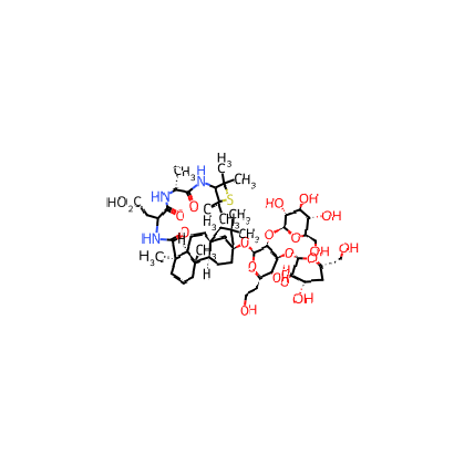 C[C@@H](NC(=O)C(CC(=O)O)NC(=O)[C@]1(C)CCC[C@@]2(C)[C@@H]3CC[C@]4(O[C@@H]5O[C@H](CCO)[C@@H](O)[C@H](O[C@@H]6O[C@H](CO)C[C@H](O)[C@H]6O)[C@H]5O[C@@H]5O[C@H](CO)[C@@H](O)[C@H](O)[C@H]5O)C[C@@]3(CC[C@@H]21)CC4(C)C)C(=O)NC1C(C)(C)SC1(C)C